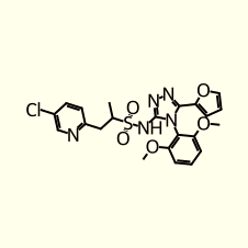 COc1cccc(OC)c1-n1c(NS(=O)(=O)C(C)Cc2ccc(Cl)cn2)nnc1-c1ccco1